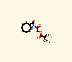 C=C(C)C(=O)OCC(=O)N1C(=O)C2CCCCCCC21